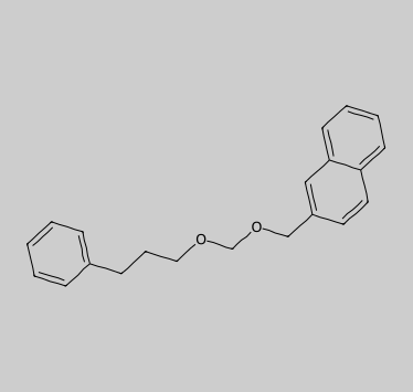 c1ccc(CCCOCOCc2ccc3ccccc3c2)cc1